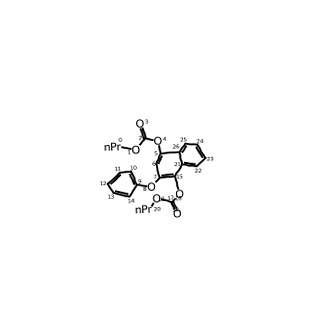 CCCOC(=O)Oc1cc(Oc2ccccc2)c(OC(=O)OCCC)c2ccccc12